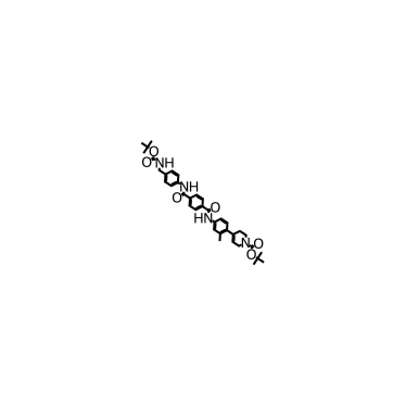 Cc1cc(NC(=O)c2ccc(C(=O)Nc3ccc(CNC(=O)OC(C)(C)C)cc3)cc2)ccc1C1=CCN(C(=O)OC(C)(C)C)CC1